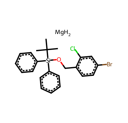 CC(C)(C)[Si](OCc1ccc(Br)cc1Cl)(c1ccccc1)c1ccccc1.[MgH2]